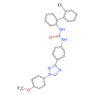 CCc1ccccc1-c1ccccc1NC(=O)Nc1ccc(-c2ncn(-c3ccc(OC(F)(F)F)cc3)n2)cc1